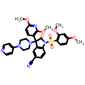 COc1ccc(S(=O)(=O)N2C(=O)C(c3ccc(OC)nc3OC)(N3CCN(c4ccncc4)CC3)c3cc(C#N)ccc32)c(OC)c1